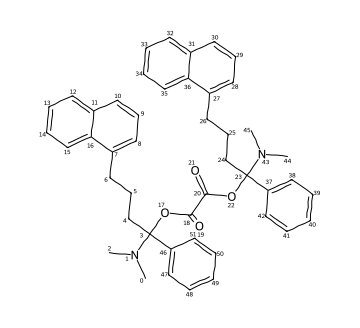 CN(C)C(CCCc1cccc2ccccc12)(OC(=O)C(=O)OC(CCCc1cccc2ccccc12)(c1ccccc1)N(C)C)c1ccccc1